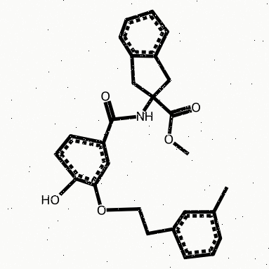 COC(=O)C1(NC(=O)c2ccc(O)c(OCCc3cccc(C)c3)c2)Cc2ccccc2C1